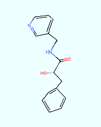 O=C(NCc1cccnc1)[C@@H](O)Cc1ccccc1